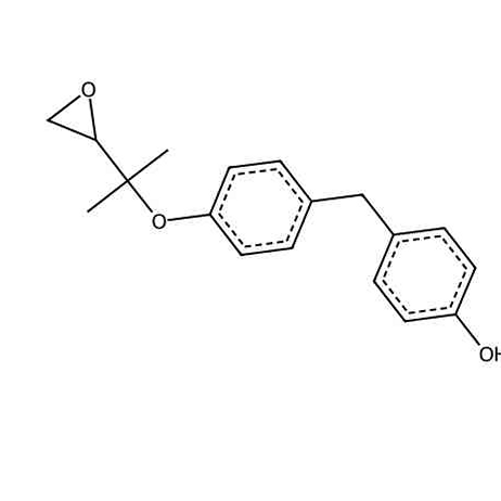 CC(C)(Oc1ccc(Cc2ccc(O)cc2)cc1)C1CO1